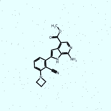 COC(=O)c1cnc(N)c2[nH]c(-c3cccc(N4CCC4)c3C#N)cc12